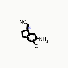 N#C/C=C1\CCc2cc(Cl)c(N)cc21